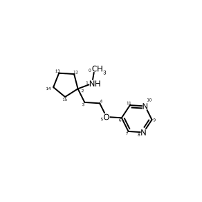 CNC1(CCOc2cncnc2)CCCC1